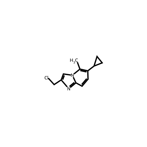 Cc1c(C2CC2)ccc2nc(CCl)cn12